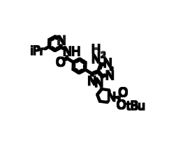 CC(C)c1ccnc(NC(=O)c2ccc(-c3nn([C@@H]4CCCN(C(=O)OC(C)(C)C)C4)c4ncnc(N)c34)cc2)c1